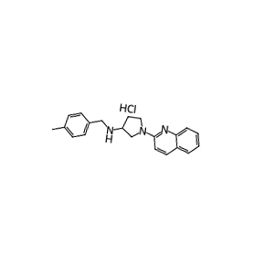 Cc1ccc(CNC2CCN(c3ccc4ccccc4n3)C2)cc1.Cl